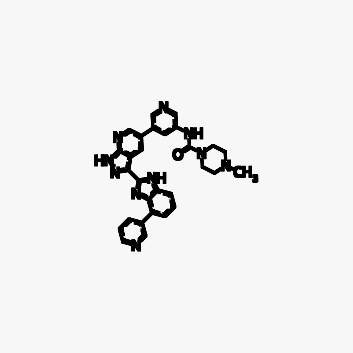 CN1CCN(C(=O)Nc2cncc(-c3cnc4[nH]nc(-c5nc6c(-c7cccnc7)cccc6[nH]5)c4c3)c2)CC1